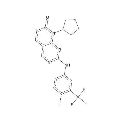 O=c1ccc2cnc(Nc3ccc(F)c(C(F)(F)F)c3)nc2n1C1CCCC1